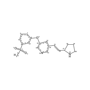 CS(=O)(=O)c1cccc(Oc2cncc(C=CC3CCCN3)c2)c1